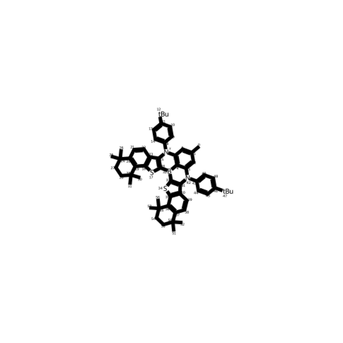 Cc1cc2c3c(c1)N(c1ccc(C(C)(C)C)cc1)c1c(sc4c5c(ccc14)C(C)(C)CCC5(C)C)B3c1sc3c4c(ccc3c1N2c1ccc(C(C)(C)C)cc1)C(C)(C)CCC4(C)C